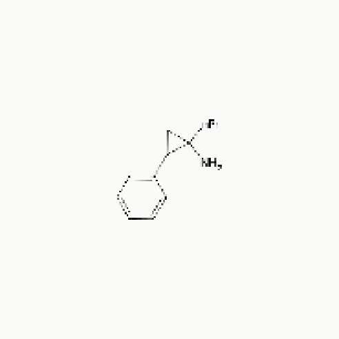 CCCC1(N)CC1c1ccccc1